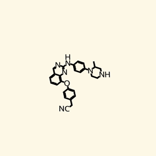 CC1CNCCN1c1ccc(Nc2ncc3cccc(Oc4ccc(CC#N)cc4)c3n2)cc1